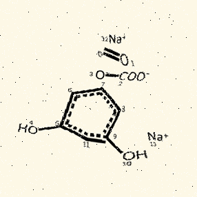 C=O.O=C([O-])[O-].Oc1cccc(O)c1.[Na+].[Na+]